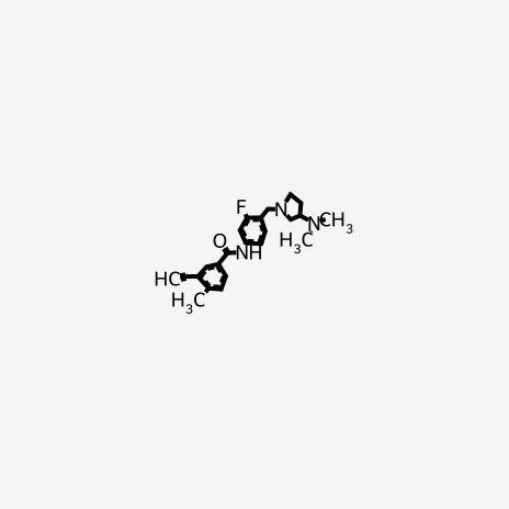 C#Cc1cc(C(=O)Nc2ccc(CN3CCC(N(C)C)C3)c(F)c2)ccc1C